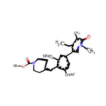 COc1cc(-c2cn(C)c(=O)c(C)c2C)cc(OC)c1C=C1CCN(C(=O)OC(C)(C)C)CC1